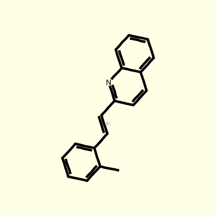 Cc1ccccc1/C=C/c1ccc2ccccc2n1